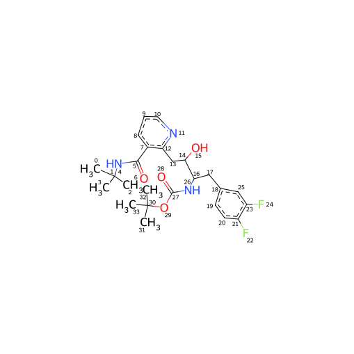 CC(C)(C)NC(=O)c1cccnc1CC(O)C(Cc1ccc(F)c(F)c1)NC(=O)OC(C)(C)C